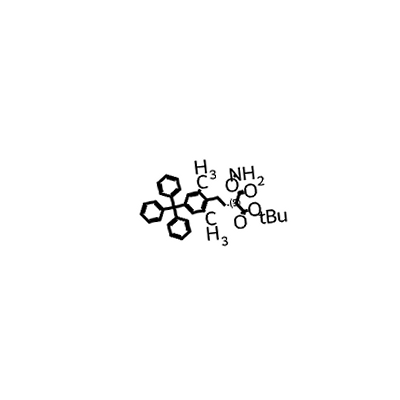 Cc1cc(C(c2ccccc2)(c2ccccc2)c2ccccc2)cc(C)c1CC[C@H](C(=O)ON)C(=O)OC(C)(C)C